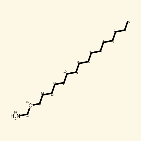 CCCCCCCCCCCCCCCCOCN